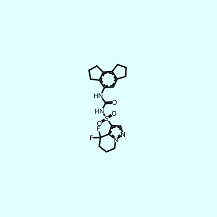 O=C(Nc1cc2c(c3c1CCC3)CCC2)NS(=O)(=O)c1cnn2c1C(F)(F)CCC2